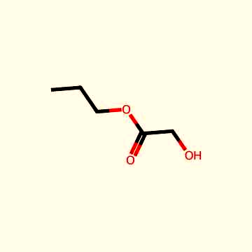 CCCOC(=O)CO